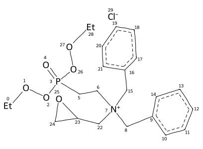 CCOOP(=O)(CC[N+](Cc1ccccc1)(Cc1ccccc1)CC1CO1)OOCC.[Cl-]